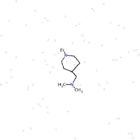 [CH2]CN1CCC(CN(C)C)CC1